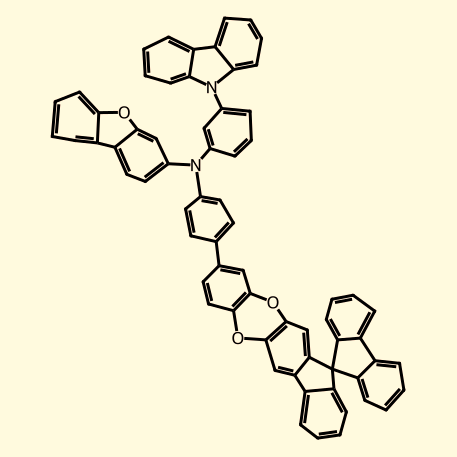 c1cc(N(c2ccc(-c3ccc4c(c3)Oc3cc5c(cc3O4)-c3ccccc3C53c4ccccc4-c4ccccc43)cc2)c2ccc3c(c2)oc2ccccc23)cc(-n2c3ccccc3c3ccccc32)c1